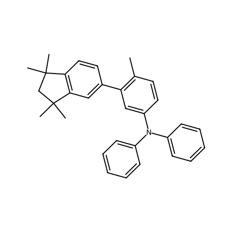 Cc1ccc(N(c2ccccc2)c2ccccc2)cc1-c1ccc2c(c1)C(C)(C)CC2(C)C